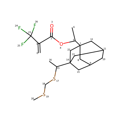 C=C(C(=O)OC(C)C12CC3CC(C1)CC(C(C)SCSC)(C3)C2)C(F)(F)F